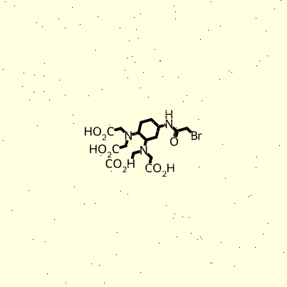 O=C(O)CN(CC(=O)O)C1CCC(NC(=O)CBr)CC1N(CC(=O)O)CC(=O)O